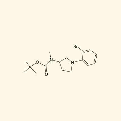 CN(C(=O)OC(C)(C)C)C1CCN(c2ccccc2Br)C1